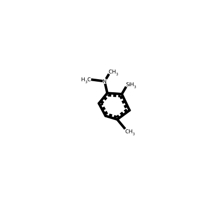 Cc1ccc(N(C)C)c([SiH3])c1